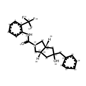 O=C(Nc1ccccc1C(F)(F)F)N1C[C@@H]2CC(O)(Cc3ccccc3)C[C@@H]2C1